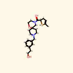 CC1=CCC(C(=O)N2CCOC3(CCN(Cc4cccc(CCO)c4)CC3)C2)S1